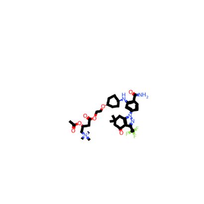 CC(=O)OC(CC(=O)OCCO[C@H]1CC[C@H](Nc2cc(-n3nc(C(F)(F)F)c4c3CC(C)(C)CC4=O)ccc2C(N)=O)CC1)C[N+](C)(C)C